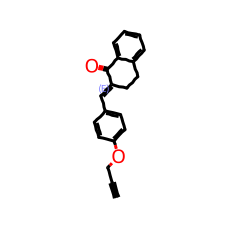 C#CCOc1ccc(/C=C2\CCc3ccccc3C2=O)cc1